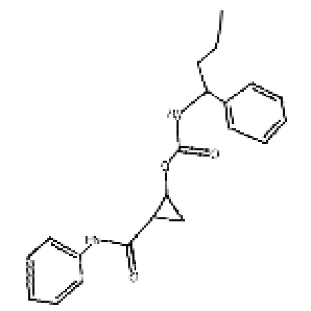 CCCC(NC(=O)OC1CC1C(=O)Nc1ccccc1)c1ccccc1